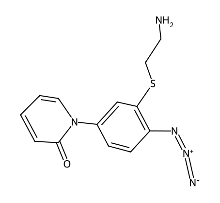 [N-]=[N+]=Nc1ccc(-n2ccccc2=O)cc1SCCN